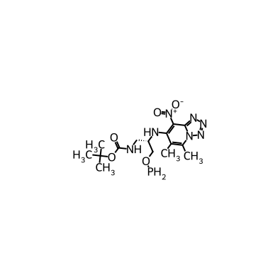 Cc1c(N[C@@H](CNC(=O)OC(C)(C)C)COP)c([N+](=O)[O-])c2nnnn2c1C